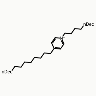 CCCCCCCCCCCCCCCCCCc1cc[n+](CCCCCCCCCCCCCC)cc1